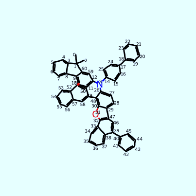 CC1(C)c2ccccc2-c2ccc(N(c3ccc(-c4ccccc4)cc3)c3ccc4c(oc5c6ccccc6c(-c6ccccc6)cc45)c3-c3ccc4ccccc4c3)cc21